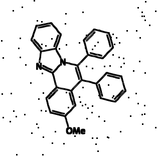 COc1ccc2c(c1)c(-c1ccccc1)c(-c1ccccc1)n1c3ccccc3nc21